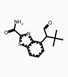 CC(C)(C)C(C=O)c1cccc2sc(C(N)=O)nc12